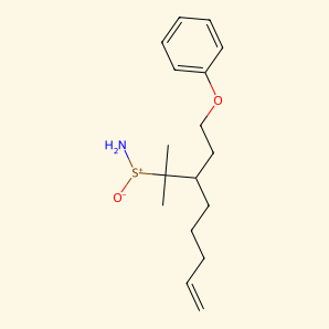 C=CCCCC(CCOc1ccccc1)C(C)(C)[S+](N)[O-]